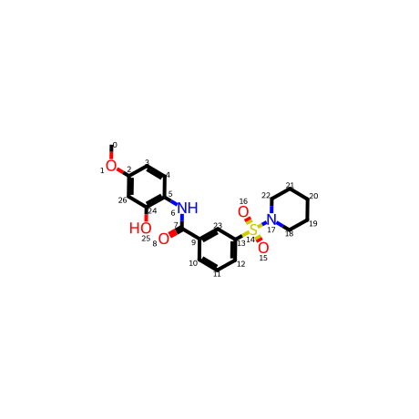 COc1ccc(NC(=O)c2cccc(S(=O)(=O)N3CCCCC3)c2)c(O)c1